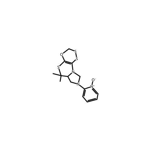 CC1(C)SC2=C(SSCO2)N2CN(c3cccc[n+]3[O-])CC21